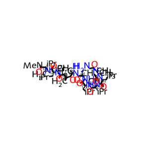 C=C(C(=O)[C@@H](C)NC(=O)[C@H](C)NC(=O)[C@H](CC(C)C)N(C)C(=O)[C@@H](NC(=O)[C@H](CC(C)C)N(C)C(=O)CN(C)C(=O)CN)C(C)C)[C@@H](CC(C)C)C(=O)N(C)[C@@H](CC(C)C)C(=O)N(C)[C@H](C(=O)NC)C(C)C